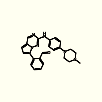 CN1CCN(c2ccc(Nc3ncc4ccc(-c5ccccc5C=O)n4n3)cc2)CC1